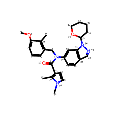 COc1cccc(CN(C(=O)c2ccn(C)c2C)c2ccc3cnn(C4CCCCO4)c3c2)c1C